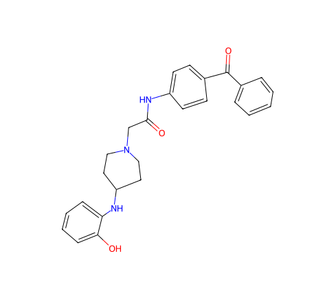 O=C(CN1CCC(Nc2ccccc2O)CC1)Nc1ccc(C(=O)c2ccccc2)cc1